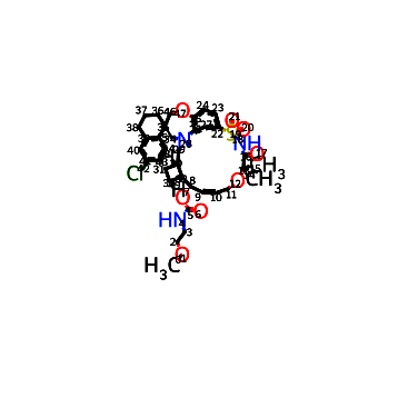 COCCNC(=O)O[C@H]1C=CCOC(C)(C)C(=O)NS(=O)(=O)c2ccc3c(c2)N(C[C@@H]2CC[C@H]21)C[C@@]1(CCCc2cc(Cl)ccc21)CO3